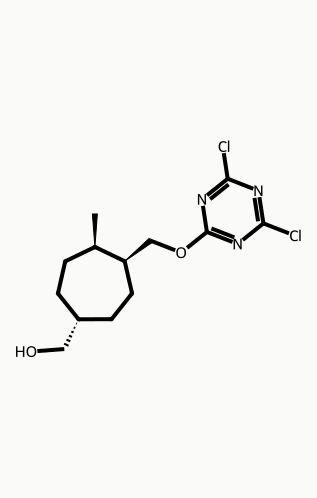 C[C@@H]1CC[C@@H](CO)CC[C@@H]1COc1nc(Cl)nc(Cl)n1